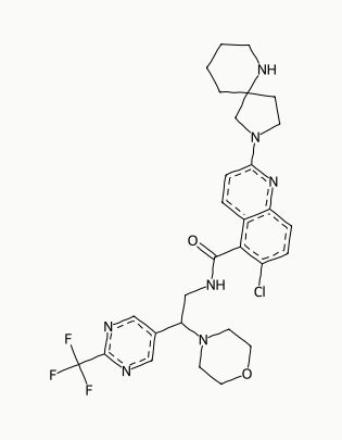 O=C(NCC(c1cnc(C(F)(F)F)nc1)N1CCOCC1)c1c(Cl)ccc2nc(N3CCC4(CCCCN4)C3)ccc12